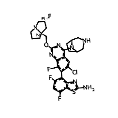 Nc1nc2c(-c3c(Cl)cc4c(N5C6CCC5CNC6)nc(OC[C@@]56CCCN5C[C@H](F)C6)nc4c3F)c(F)cc(F)c2s1